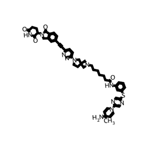 CC1(N)C=CN(c2cnc(Sc3cccc(NC(=O)CCCCCCN4CC5(CCN(c6ccc(C#Cc7ccc8c(c7)CN(C7CCC(=O)NC7=O)C8=O)nn6)C5)C4)c3)cn2)C=C1